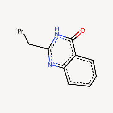 CC(C)Cc1nc2ccccc2c(=O)[nH]1